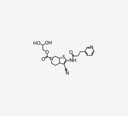 N#CC1=C(NC(=O)CCc2cccnc2)SC2CN(C(=O)OCC(O)O)CCC12